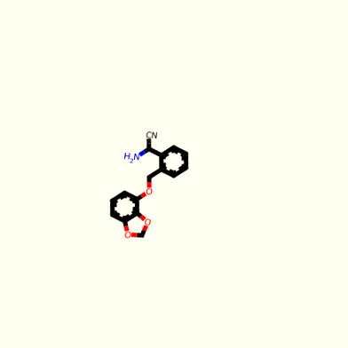 N#CC(N)c1ccccc1COc1cccc2c1OCO2